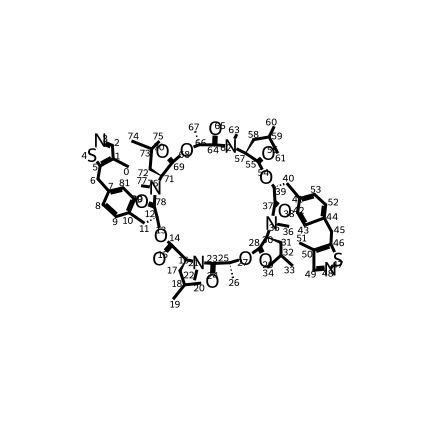 Cc1cnsc1Cc1ccc(C[C@H]2OC(=O)[C@H](CC(C)C)N(C)C(=O)[C@@H](C)OC(=O)[C@H](CC(C)C)N(C)C(=O)[C@@H](Cc3ccc(Cc4sncc4C)cc3)OC(=O)[C@H](CC(C)C)N(C)C(=O)[C@@H](C)OC(=O)[C@H](CC(C)C)N(C)C2=O)cc1